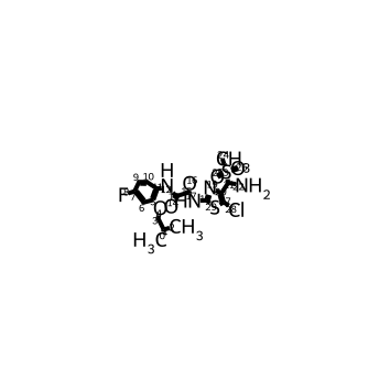 CC(C)COc1cc(F)ccc1NC(=O)C(=O)Nc1nc(C(N)S(C)(=O)=O)c(Cl)s1